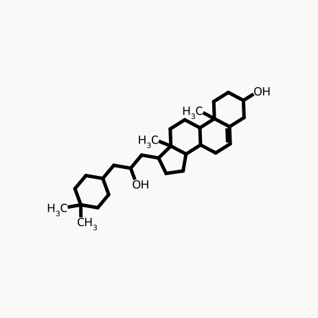 CC1(C)CCC(CC(O)CC2CCC3C4CC=C5CC(O)CCC5(C)C4CCC23C)CC1